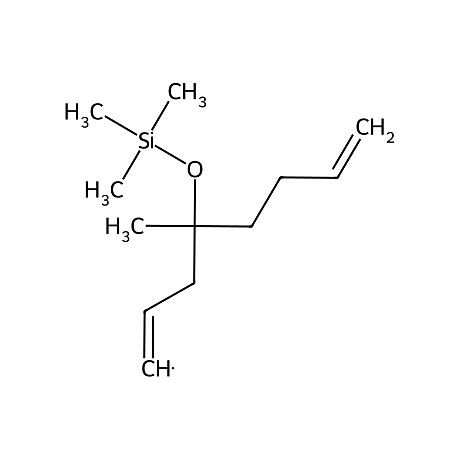 [CH]=CCC(C)(CCC=C)O[Si](C)(C)C